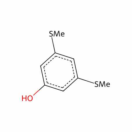 CSc1cc(O)cc(SC)c1